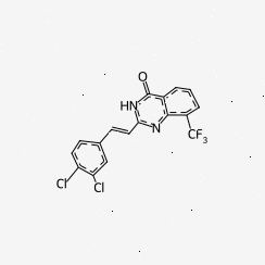 O=c1[nH]c(C=Cc2ccc(Cl)c(Cl)c2)nc2c(C(F)(F)F)cccc12